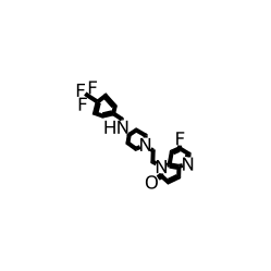 O=c1ccc2ncc(F)cc2n1CCN1CCC(NCc2ccc(C(F)(F)F)cc2)CC1